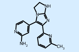 Cc1cccc(-c2nc3n(c2-c2ccnc(N)c2)CCN3)n1